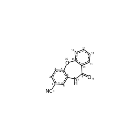 N#Cc1ccc2c(c1)NC(=O)c1cccnc1O2